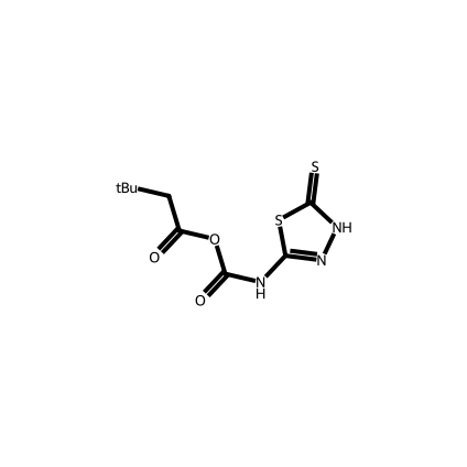 CC(C)(C)CC(=O)OC(=O)Nc1n[nH]c(=S)s1